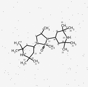 CC1CN(C2CC(C)(C)NC(C)(C)C2)P(C)(=O)N1C1CC(C)(C)NC(C)(C)C1